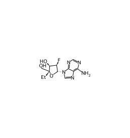 CC[C@]1(CO)O[C@@H](n2cnc3c(N)ncnc32)[C@H](F)[C@@H]1O